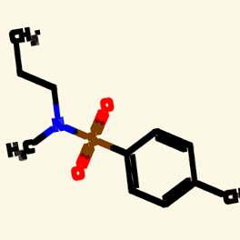 [CH2]CCN(C)S(=O)(=O)c1ccc(C)cc1